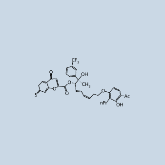 CCCc1c(OCC/C=C\C=C\[C@H](OC(=O)c2cc(=O)c3c(o2)=CC(=S)CC=3)[C@](C)(O)c2cccc(C(F)(F)F)c2)ccc(C(C)=O)c1O